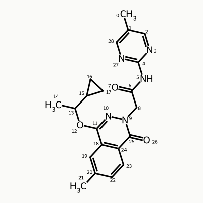 Cc1cnc(NC(=O)Cn2nc(OC(C)C3CC3)c3cc(C)ccc3c2=O)nc1